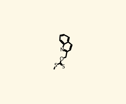 CSC(=S)OCc1ccc2ccccc2n1